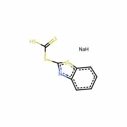 S=C(S)Sc1nc2ccccc2s1.[NaH]